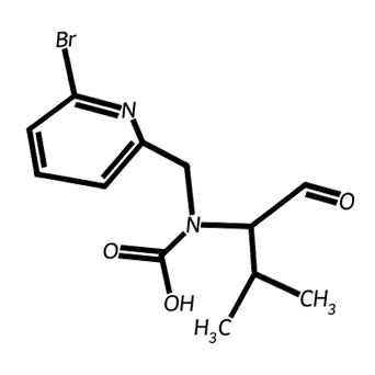 CC(C)C(C=O)N(Cc1cccc(Br)n1)C(=O)O